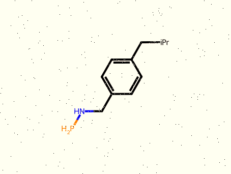 CC(C)Cc1ccc(CNP)cc1